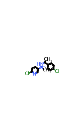 CC(N[N+](C)c1ccc(Cl)nc1)c1ccc(Cl)cc1